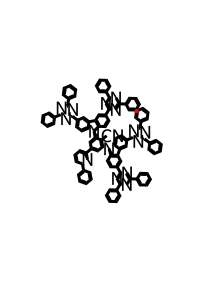 N#Cc1c(-n2c3ccc(-c4nc(-c5ccccc5)nc(-c5ccccc5)n4)cc3c3cc(-c4nc(-c5ccccc5)nc(-c5ccccc5)n4)ccc32)cc(-c2cccc(-c3ccccc3)n2)cc1-n1c2ccc(-c3nc(-c4ccccc4)nc(-c4ccccc4)n3)cc2c2cc(-c3nc(-c4ccccc4)nc(-c4ccccc4)n3)ccc21